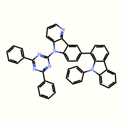 c1ccc(-c2nc(-c3ccccc3)nc(-n3c4ccc(-c5cccc6c7ccccc7n(-c7ccccc7)c56)cc4c4ncccc43)n2)cc1